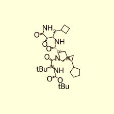 CC(C)(C)OC(=O)N[C@H](C(=O)N1C[C@]2(CC2C2CCCC2)C[C@H]1C(=O)NC(CC1CCC1)C(=O)C(N)=O)C(C)(C)C